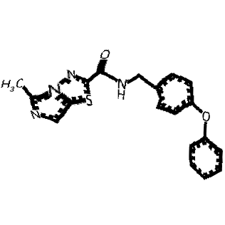 Cc1ncc2sc(C(=O)NCc3ccc(Oc4ccccc4)cc3)nn12